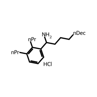 CCCCCCCCCCCCCC(N)c1cccc(CCC)c1CCC.Cl